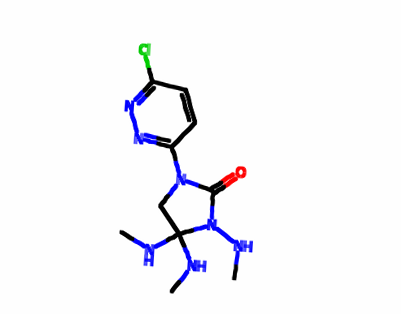 CNN1C(=O)N(c2ccc(Cl)nn2)CC1(NC)NC